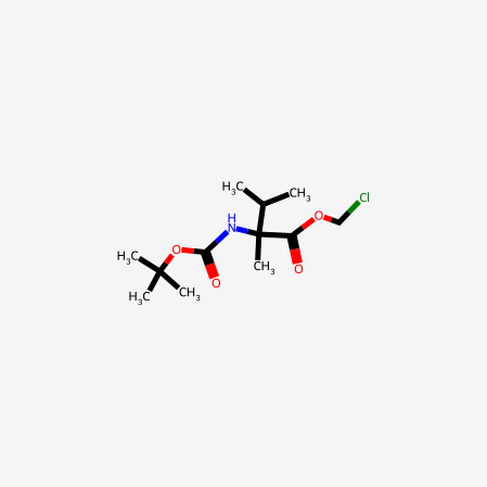 CC(C)C(C)(NC(=O)OC(C)(C)C)C(=O)OCCl